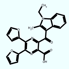 CCn1c(C)c(C(=O)c2nc(-c3ccco3)c(-c3ccco3)nc2C(=O)O)c2ccccc21